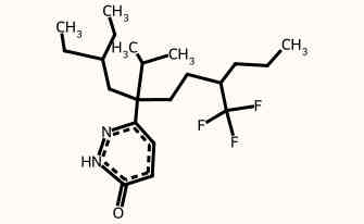 CCCC(CCC(CC(CC)CC)(c1ccc(=O)[nH]n1)C(C)C)C(F)(F)F